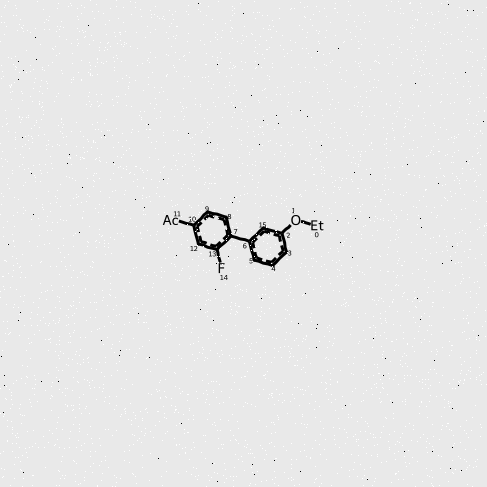 CCOc1cccc(-c2ccc(C(C)=O)cc2F)c1